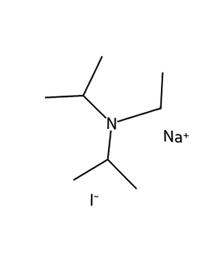 CCN(C(C)C)C(C)C.[I-].[Na+]